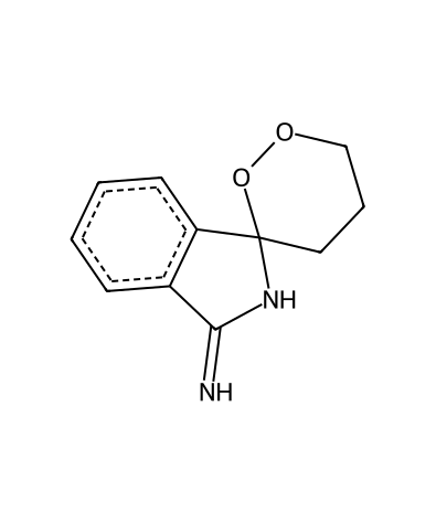 N=C1NC2(CCCOO2)c2ccccc21